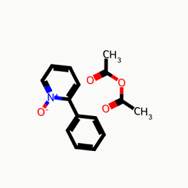 CC(=O)OC(C)=O.[O-][n+]1ccccc1-c1ccccc1